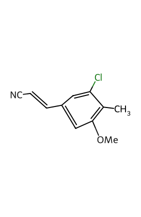 COc1cc(/C=C/C#N)cc(Cl)c1C